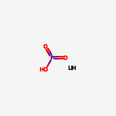 O=P(=O)O.[LiH]